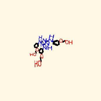 OCCOc1cccc(Nc2nc(Nc3cccc(OCCO)c3)nc(Nc3cccc(OCCO)c3)n2)c1